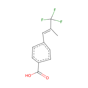 C/C(=C\c1ccc(C(=O)O)cc1)C(F)(F)F